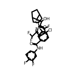 O=C(Nc1ccc(F)c(F)c1)c1ccc(Cl)c(S(=O)(=O)[C@H]2CC3CCC(C2)[C@]3(O)C(O)c2nc(C(F)F)ccc2F)c1